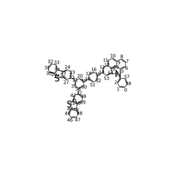 c1ccc(-n2c3cccc4ccc5cc(-c6ccc(-c7cc(-c8ccc9c(c8)sc8ccccc89)cc(-c8ccc9c(c8)sc8ccccc89)c7)cc6)cc2c5c43)cc1